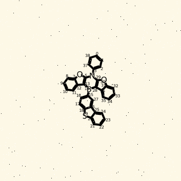 c1ccc(N2c3oc4ccccc4c3B(c3ccc4sc5ccccc5c4c3)c3c2oc2ccccc32)cc1